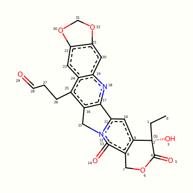 CC[C@@]1(O)C(=O)OCc2c1cc1n(c2=O)Cc2c-1nc1cc3c(cc1c2CCC=O)OCO3